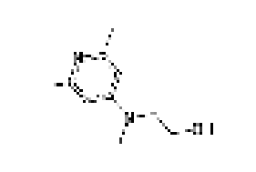 Cc1cc(N(C)CCO)cc(C)n1